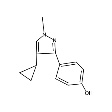 Cn1cc(C2CC2)c(-c2ccc(O)cc2)n1